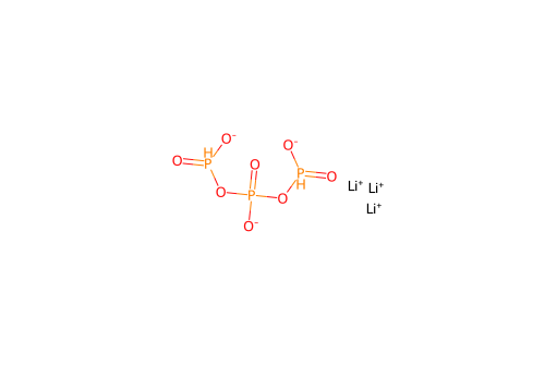 O=[PH]([O-])OP(=O)([O-])O[PH](=O)[O-].[Li+].[Li+].[Li+]